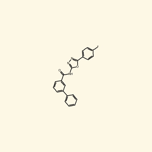 O=C(Nc1nnc(-c2ccc(F)cc2)o1)c1cccc(-c2ccccc2)c1